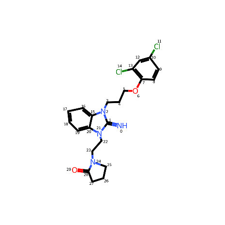 N=c1n(CCCOc2ccc(Cl)cc2Cl)c2ccccc2n1CCN1CCCC1=O